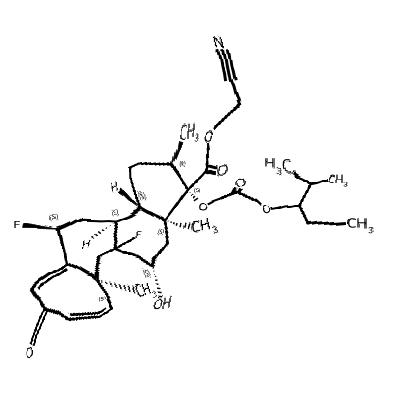 CCC(OC(=O)O[C@@]1(C(=O)OCC#N)[C@H](C)C[C@H]2[C@@H]3C[C@H](F)C4=CC(=O)C=C[C@]4(C)C3(F)[C@@H](O)C[C@@]21C)C(C)C